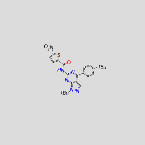 CC(C)(C)c1ccc(-c2nc(NC(=O)c3ccc([N+](=O)[O-])s3)nc3c2cnn3C(C)(C)C)cc1